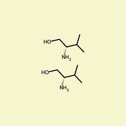 CC(C)[C@H](N)CO.CC(C)[C@H](N)CO